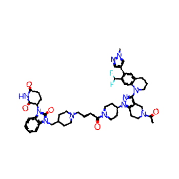 CC(=O)N1CCc2c(c(N3CCCc4cc(-c5cnn(C)c5)c(C(F)F)cc43)nn2C2CCN(C(=O)CCCN3CCC(Cn4c(=O)n(C5CCC(=O)NC5=O)c5ccccc54)CC3)CC2)C1